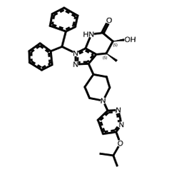 CC(C)Oc1ccc(N2CCC(c3nn(C(c4ccccc4)c4ccccc4)c4c3[C@H](C)[C@H](O)C(=O)N4)CC2)nn1